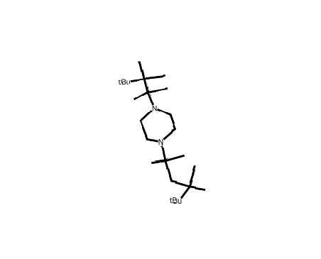 CC(C)(CC(C)(C)C(C)(C)C)N1CCN(C(C)(C)C(C)(C)C(C)(C)C)CC1